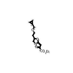 CCOC(=O)c1cc2n(n1)CC(CCOCC1CC1)O2